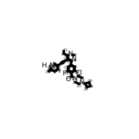 C=C(N)/C=C\C(C#Cc1c(CC)ncnc1-c1cc(F)c(C(=O)N2CCN(C3CCC3)CC2)c(Cl)c1)=C/N